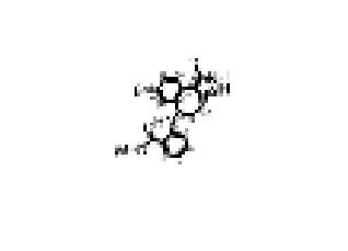 CNC(=O)c1ccccc1NC1CCN2NNC(C)=C2c2ccc(Br)cc21